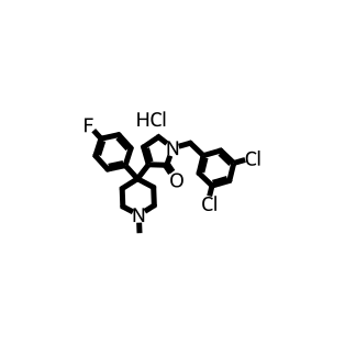 CN1CCC(C2=CCN(Cc3cc(Cl)cc(Cl)c3)C2=O)(c2ccc(F)cc2)CC1.Cl